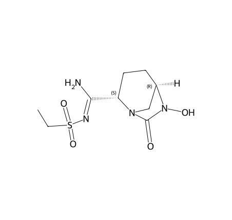 CCS(=O)(=O)N=C(N)[C@@H]1CC[C@@H]2CN1C(=O)N2O